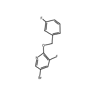 Fc1cccc(COc2ncc(Br)cc2F)c1